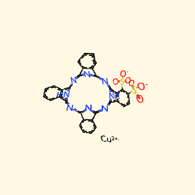 O=S(=O)([O-])c1ccc2c3nc4nc(nc5[nH]c(nc6nc(nc([nH]3)c2c1S(=O)(=O)[O-])-c1ccccc1-6)c1ccccc51)-c1ccccc1-4.[Cu+2]